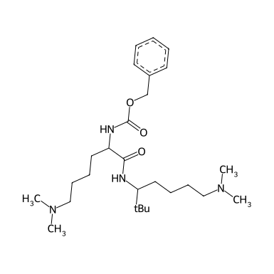 CN(C)CCCCC(NC(=O)OCc1ccccc1)C(=O)NC(CCCCN(C)C)C(C)(C)C